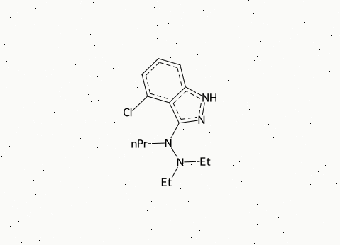 CCCN(c1n[nH]c2cccc(Cl)c12)N(CC)CC